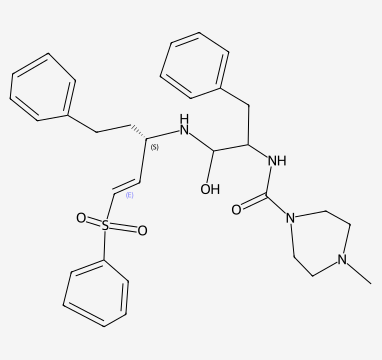 CN1CCN(C(=O)NC(Cc2ccccc2)C(O)N[C@H](/C=C/S(=O)(=O)c2ccccc2)CCc2ccccc2)CC1